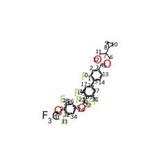 Fc1cc(C2OCC(C3CC3)CO2)ccc1-c1cc(F)c(C(F)(F)Oc2cc(F)c(OC(F)(F)F)c(F)c2)c(F)c1